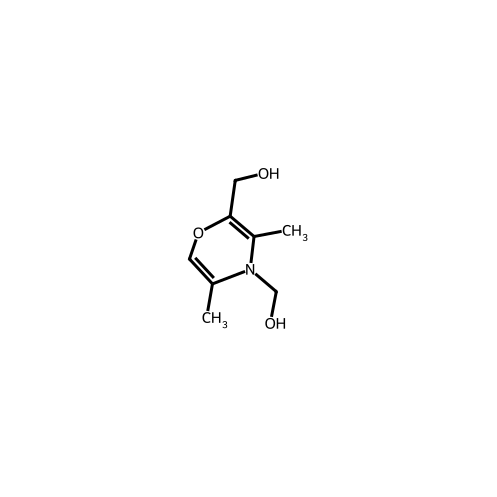 CC1=COC(CO)=C(C)N1CO